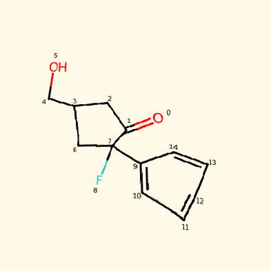 O=C1CC(CO)CC1(F)c1ccccc1